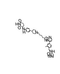 Cc1cc(-c2ccnc3cc(CCCCN4CCC(c5ccc(NC6CCC(=O)NC6=O)cc5)CC4)nn23)ccc1CNC(=O)OC(C)(C)C